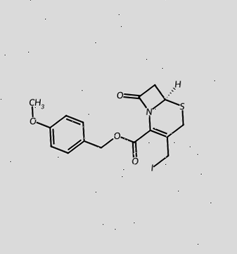 COc1ccc(COC(=O)C2=C(CI)CS[C@@H]3CC(=O)N23)cc1